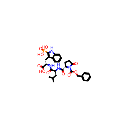 CC(C)C[C@H](NC(=O)[C@@H]1CCC(=O)N1C(=O)OCc1ccccc1)C(=O)N[C@@H](Cc1c(P(=O)(O)O)[nH]c2ccccc12)C(=O)O